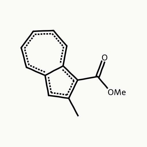 COC(=O)c1c(C)cc2cccccc1-2